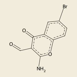 Nc1oc2ccc(Br)cc2c(=O)c1C=O